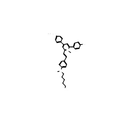 COc1ccc(-c2cc(/C=C/c3ccc(N(C)CCCCCC#N)cc3)[n+](C)c(-c3ccc(Br)cc3)c2)cc1